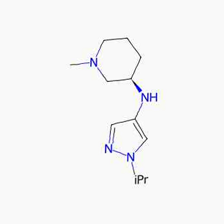 CC(C)n1cc(N[C@@H]2CCCN(C)C2)cn1